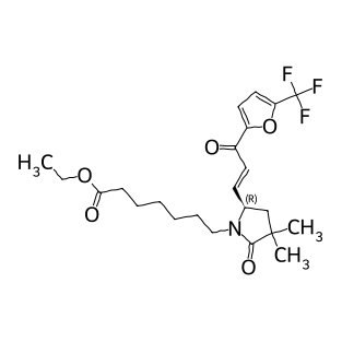 CCOC(=O)CCCCCCN1C(=O)C(C)(C)C[C@@H]1C=CC(=O)c1ccc(C(F)(F)F)o1